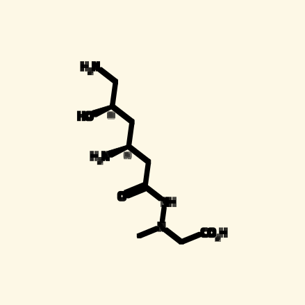 CN(CC(=O)O)NC(=O)C[C@@H](N)C[C@@H](O)CN